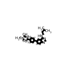 CC(C)CCNc1ncnc2ccc(-c3ccc(C(=O)NC(C)N(C)C)cc3)cc12